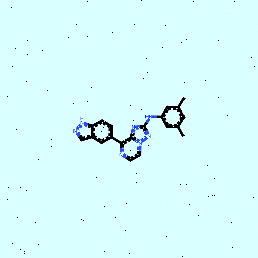 Cc1cc(C)cc(Nc2nc3c(-c4ccc5[nH]ncc5c4)nccn3n2)c1